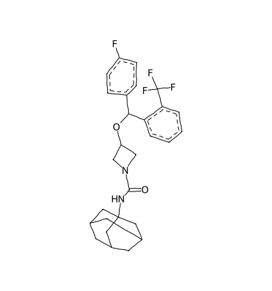 O=C(NC12CC3CC(CC(C3)C1)C2)N1CC(OC(c2ccc(F)cc2)c2ccccc2C(F)(F)F)C1